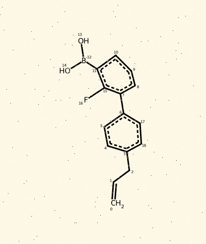 C=CCc1ccc(-c2cccc(B(O)O)c2F)cc1